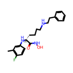 Cc1cc(N[C@H](CCCCNCCc2ccccc2)C(=O)NO)ccc1F